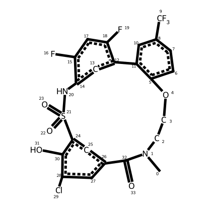 CN1CCOc2ccc(C(F)(F)F)cc2-c2cc(c(F)cc2F)NS(=O)(=O)c2cc(cc(Cl)c2O)C1=O